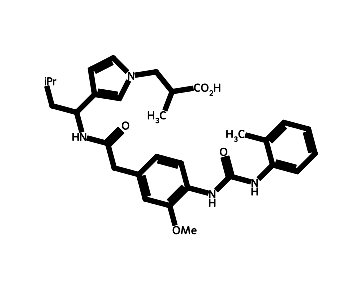 COc1cc(CC(=O)NC(CC(C)C)c2ccn(CC(C)C(=O)O)c2)ccc1NC(=O)Nc1ccccc1C